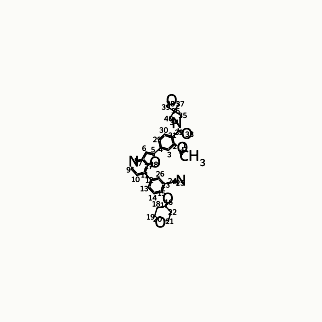 COc1cc(-c2cc3nccc(-c4ccc(OC5CCOCC5)c(C#N)c4)c3o2)ccc1C(=O)N1CC2(COC2)C1